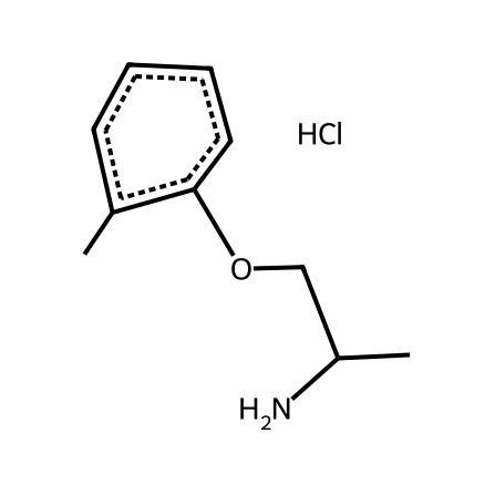 Cc1ccccc1OCC(C)N.Cl